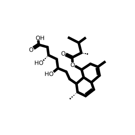 CC1=CC2C=C[C@H](C)C(CCC(O)C[C@H](O)CC(=O)O)C2C(OC(=O)[C@@H](C)C(C)C)C1